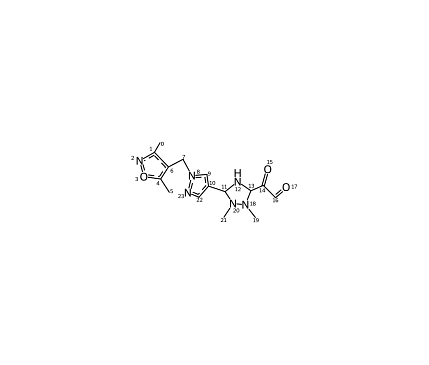 Cc1noc(C)c1Cn1cc(C2NC(C(=O)C=O)N(C)N2C)cn1